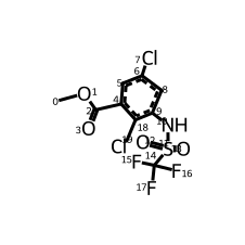 COC(=O)c1cc(Cl)cc(NS(=O)(=O)C(F)(F)F)c1Cl